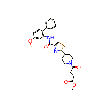 COC(=O)CCC(=O)N1CCC(c2nc(C(=O)Nc3cc(OC)ccc3-c3ccccc3)cs2)CC1